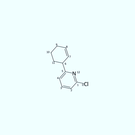 Clc1cccc(C2C=CCCC2)n1